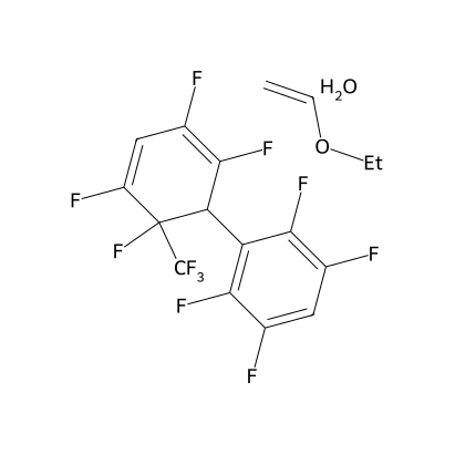 C=COCC.FC1=CC(F)=C(F)C(c2c(F)c(F)cc(F)c2F)C1(F)C(F)(F)F.O